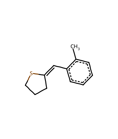 Cc1ccccc1C=C1CCCS1